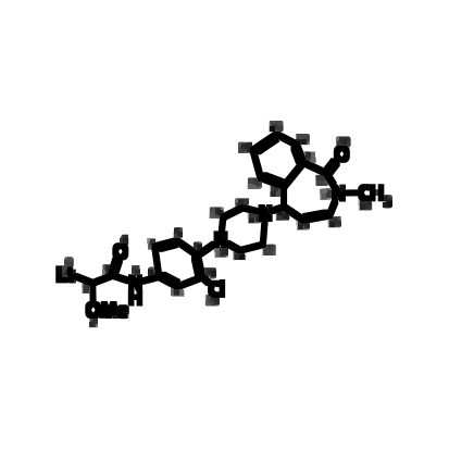 CCC(OC)C(=O)Nc1ccc(N2CCN(C3C=CN(C)C(=O)c4ccccc43)CC2)c(Cl)c1